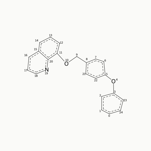 c1ccc(Oc2ccc(COc3cccc4cccnc34)cc2)cc1